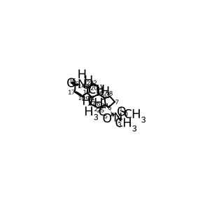 CON(C)C(=O)[C@H]1CC[C@H]2[C@@H]3CC[C@H]4NC(=O)C=C[C@]4(C)[C@H]3CC[C@]12C